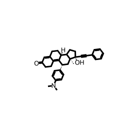 CN(C)c1ccc([C@H]2C[C@@]3(C)C(CC[C@@]3(O)C#Cc3ccccc3)[C@@H]3CCC4=CC(=O)CCC4=C32)cc1